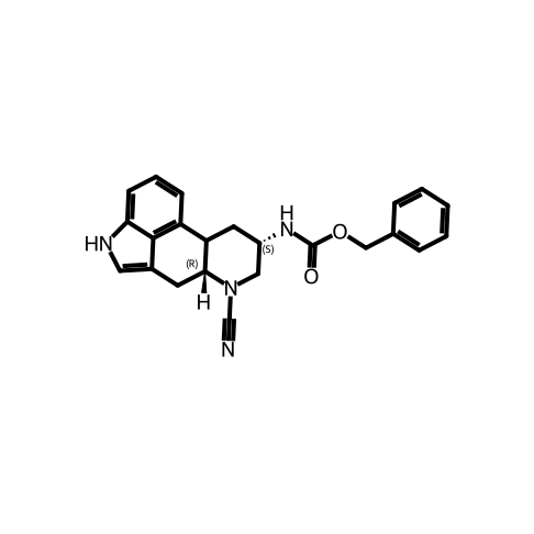 N#CN1C[C@@H](NC(=O)OCc2ccccc2)CC2c3cccc4[nH]cc(c34)C[C@H]21